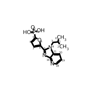 CC(C)Cn1c(-c2ccc(P(=O)(O)O)o2)nc2ncccc21